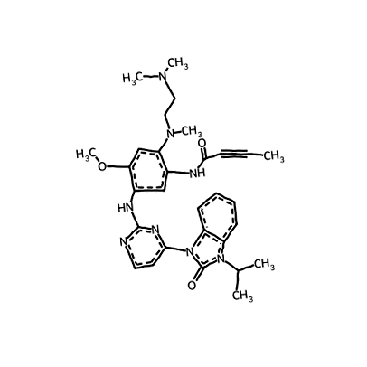 CC#CC(=O)Nc1cc(Nc2nccc(-n3c(=O)n(C(C)C)c4ccccc43)n2)c(OC)cc1N(C)CCN(C)C